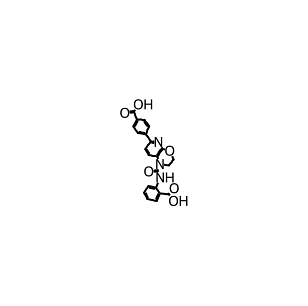 O=C(O)c1ccc(-c2ccc3c(n2)OCCN3C(=O)Nc2ccccc2C(=O)O)cc1